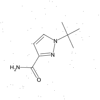 CC(C)(C)n1c[c]c(C(N)=O)n1